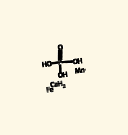 O=P(O)(O)O.[CaH2].[Fe].[Mn]